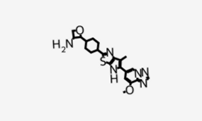 COc1cc(-c2[nH]c3sc(C4CCC(C5OCC5N)CC4)nc3c2C)cn2ncnc12